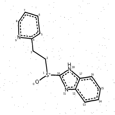 [O-][S+](CCc1ccccn1)c1nc2ccccc2[nH]1